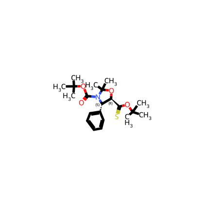 CC(C)(C)OC(=O)N1[C@@H](c2ccccc2)[C@H](C(=S)OC(C)(C)C)OC1(C)C